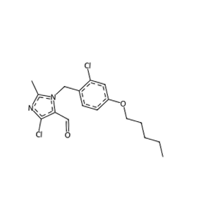 CCCCCOc1ccc(Cn2c(C)nc(Cl)c2C=O)c(Cl)c1